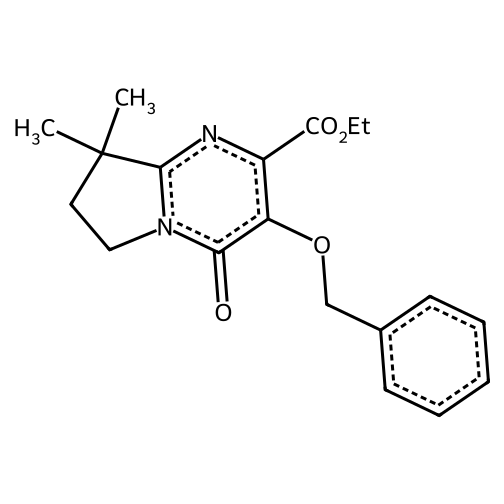 CCOC(=O)c1nc2n(c(=O)c1OCc1ccccc1)CCC2(C)C